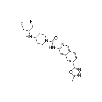 Cc1nnc(-c2ccc3cnc(NC(=O)N4CCC(NC(CF)CF)CC4)cc3c2)o1